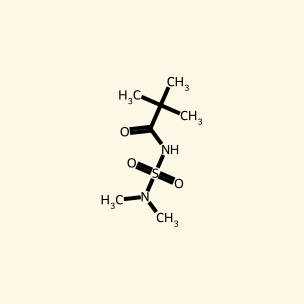 CN(C)S(=O)(=O)NC(=O)C(C)(C)C